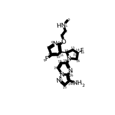 CNCCOc1ncc(F)cc1[C@H]1C[C@H](F)CN1c1ccn2ncc(N)c2n1